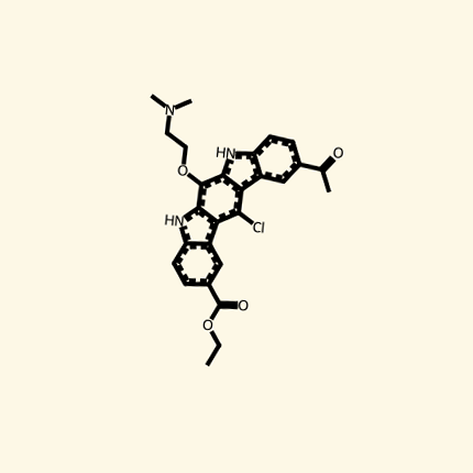 CCOC(=O)c1ccc2[nH]c3c(OCCN(C)C)c4[nH]c5ccc(C(C)=O)cc5c4c(Cl)c3c2c1